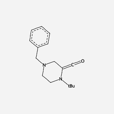 CC(C)(C)N1CCN(Cc2ccccc2)CC1=C=O